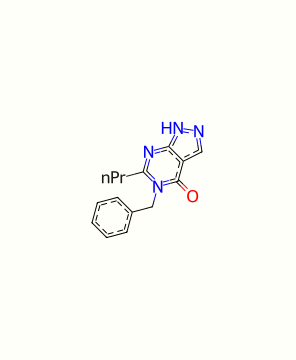 CCCc1nc2[nH]ncc2c(=O)n1Cc1ccccc1